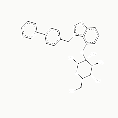 OC[C@H]1O[C@@H](O)[C@@](O)(Oc2cccc3ncn(Cc4ccc(-c5cccnc5)cc4)c23)[C@@H](O)[C@@H]1O